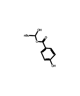 [CH2]CCCC(O)OC(=O)c1ccc(O)cc1